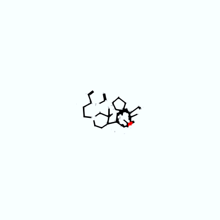 C[C@@H](CN1CC[C@](O)(c2ccc(Cl)cc2)C(C)(C)C1)C(C=O)NC(=O)[C@@H]1CCC(CC=O)(NC(=O)O)C1